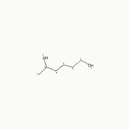 CC(O)C[CH]CCO